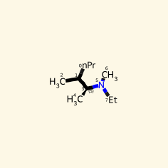 CCCC(C)[C@H](C)N(C)CC